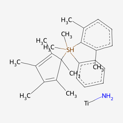 CC1=C(C)C(C)([SH](C)(C)(c2ccccc2)c2c(C)cccc2C)C(C)=C1C.[NH2][Ti]